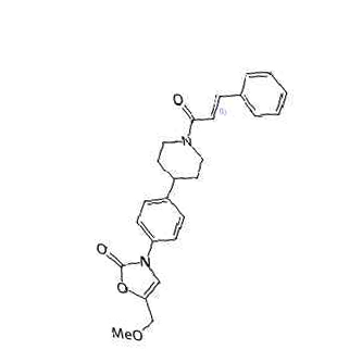 COCc1cn(-c2ccc(C3CCN(C(=O)/C=C/c4ccccc4)CC3)cc2)c(=O)o1